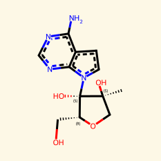 C[C@]1(O)CO[C@H](CO)[C@@]1(O)n1ccc2c(N)ncnc21